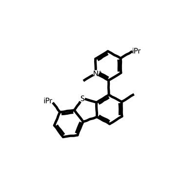 Cc1ccc2c(sc3c(C(C)C)cccc32)c1-c1cc(C(C)C)cc[n+]1C